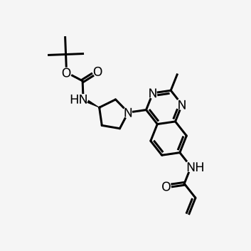 C=CC(=O)Nc1ccc2c(N3CC[C@@H](NC(=O)OC(C)(C)C)C3)nc(C)nc2c1